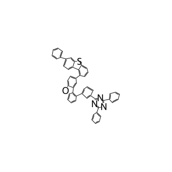 c1ccc(-c2ccc3c(c2)sc2cccc(-c4ccc5oc6cccc(-c7cccc(-c8nc(-c9ccccc9)nc(-c9ccccc9)n8)c7)c6c5c4)c23)cc1